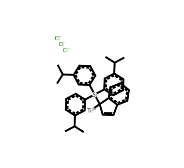 CC(C)c1cccc([Si](c2cccc(C(C)C)c2)(c2cccc(C(C)C)c2)[C]2([Ti+3])C=Cc3ccccc32)c1.[Cl-].[Cl-].[Cl-]